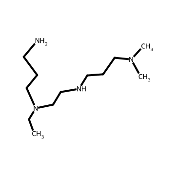 CCN(CCCN)CCNCCCN(C)C